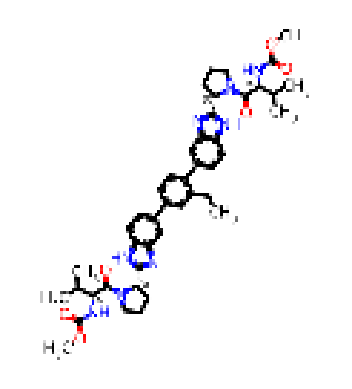 CCc1cc(-c2ccc3[nH]c([C@@H]4CCCN4C(=O)[C@@H](NC(=O)OC)C(C)C)nc3c2)ccc1-c1ccc2[nH]c([C@@H]3CCCN3C(=O)[C@@H](NC(=O)OC)C(C)C)nc2c1